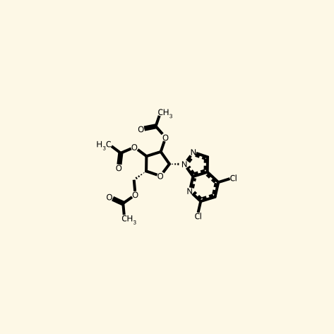 CC(=O)OC[C@H]1O[C@@H](n2ncc3c(Cl)cc(Cl)nc32)C(OC(C)=O)C1OC(C)=O